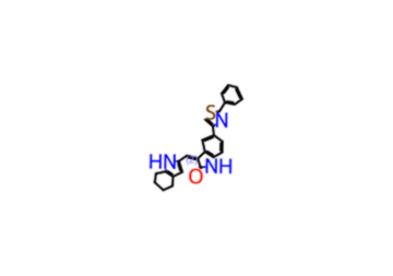 O=C1Nc2ccc(-c3csc(-c4ccccc4)n3)cc2/C1=C/c1cc2c([nH]1)CCCC2